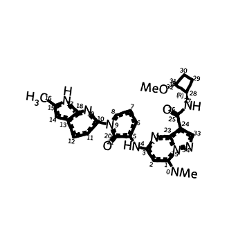 CNc1cc(Nc2cccn(-c3ccc4cc(C)[nH]c4n3)c2=O)nc2c(C(=O)N[C@@H]3CC[C@H]3OC)cnn12